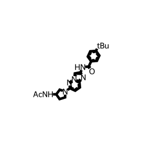 CC(=O)NC1CCN(c2ccc3nc(NC(=O)c4ccc(C(C)(C)C)cc4)cn3n2)C1